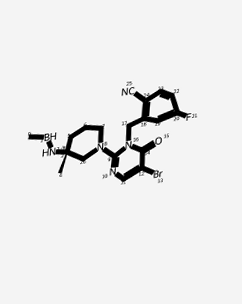 CBN[C@]1(C)CCCN(c2ncc(Br)c(=O)n2Cc2cc(F)ccc2C#N)C1